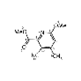 COC(=O)c1nc(OC)cc(C)c1C#N